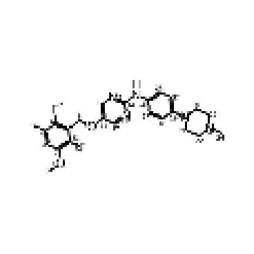 COc1cc(C)c(F)c(COc2cnc(Nc3ccc(N4CCN(C)CC4)cc3)nc2)c1F